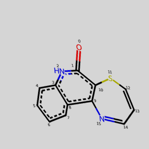 O=c1[nH]c2ccccc2c2c1SC=CC=N2